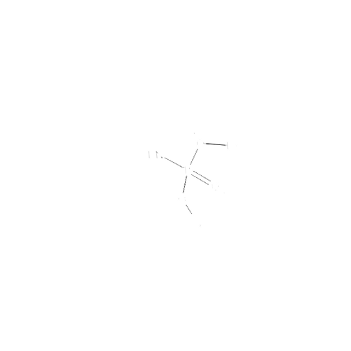 NP(=O)(OI)OI